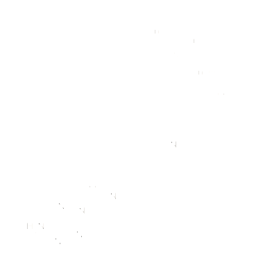 CCCCCCCCCCCOC(=O)CCCCCN(CCCCCCCC(=O)OC(CCCCCCCC)CCCCCCCC)CC(O)CCCCNC(=O)Cn1cnc2c(N)ncnc21